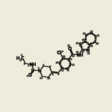 CCNC(=O)N1CCC(=Cc2ccc(C(=O)Nc3nc4ccccc4s3)c(Cl)c2)CC1